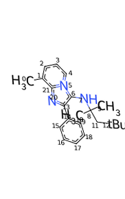 Cc1cccn2c(NC(C)(C)CC(C)(C)C)c(-c3ccccc3)nc12